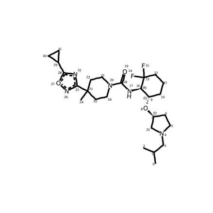 CC(C)CN1CC[C@H](O[C@H]2CCCC(F)(F)[C@@H]2NC(=O)N2CCC(C)(c3noc(C4CC4)n3)CC2)C1